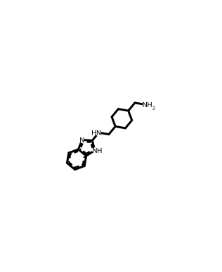 NCC1CCC(CNc2nc3ccccc3[nH]2)CC1